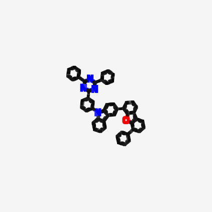 c1ccc(-c2nc(-c3ccccc3)nc(-c3cccc(-n4c5ccccc5c5cc(-c6cccc7c6oc6c(-c8ccccc8)cccc67)ccc54)c3)n2)cc1